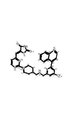 O=C1NC(=O)C(=Cc2ccnc(N3CCC(CNCc4cc(C(F)(F)F)cc(-c5ccnc6ccccc56)n4)CC3)n2)S1